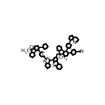 CC1(C)c2ccccc2-c2c1ccc(-c1ccccc1)c2-c1ccc(-c2nc(-c3cc(CC4(C)c5ccccc5-c5c4ccc(-c4ccc(C#N)cc4)c5-c4ccc(-c5cccc6cccnc56)cc4)cc4c3sc3ccccc34)c3ccccc3n2)cc1